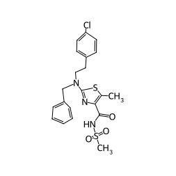 Cc1sc(N(CCc2ccc(Cl)cc2)Cc2ccccc2)nc1C(=O)NS(C)(=O)=O